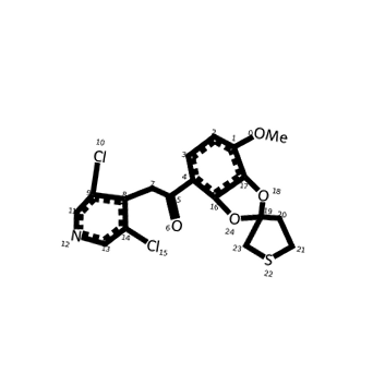 COc1ccc(C(=O)Cc2c(Cl)cncc2Cl)c2c1OC1(CCSC1)O2